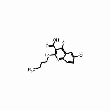 CCCCNc1nc2ccc(Cl)cc2c(Cl)c1C(=O)O